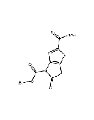 COC(=O)c1cc2c(s1)CC(=O)N2C(=O)OC(C)(C)C